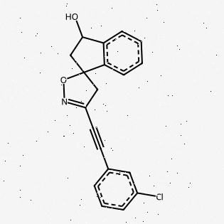 OC1CC2(CC(C#Cc3cccc(Cl)c3)=NO2)c2ccccc21